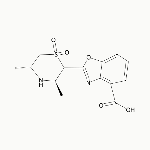 C[C@@H]1CS(=O)(=O)C(c2nc3c(C(=O)O)cccc3o2)[C@@H](C)N1